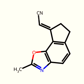 Cc1nc2ccc3c(c2o1)C(=CC#N)CC3